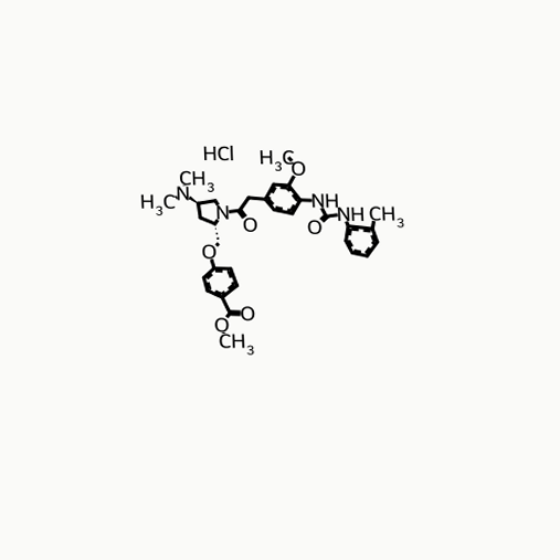 COC(=O)c1ccc(OC[C@@H]2C[C@@H](N(C)C)CN2C(=O)Cc2ccc(NC(=O)Nc3ccccc3C)c(OC)c2)cc1.Cl